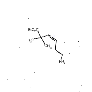 CCOC(=O)C(C)(C)/C=C\CCN